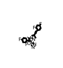 C[C@@H](n1cc(C#Cc2ccc(F)cc2F)cn1)[C@](O)(Cn1cncn1)c1ccc(F)cc1F